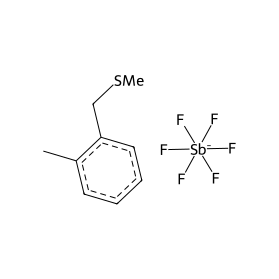 C[SH+]Cc1ccccc1C.[F][Sb-]([F])([F])([F])([F])[F]